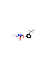 O=Cc1cccc(OCC(=O)NCC(F)(F)F)c1